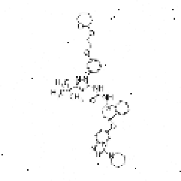 CC(C)(C)c1cc(NC(=O)N[C@H]2CC[C@@H](Oc3ccc4nnc(N5CCCCC5)n4c3)c3ccccc32)n(-c2cccc(OCCOC3CCCCO3)c2)n1